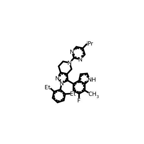 CCc1cccc(CC)c1-n1nc2c(c1-c1cc(F)c(C)c3[nH]ccc13)CN(c1ncc(C(C)C)cn1)CC2